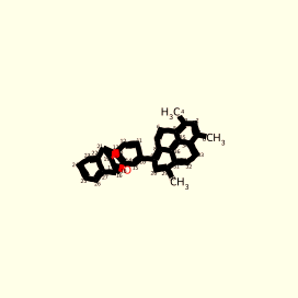 Cc1cc(C)c2ccc3c(-c4ccc5c(c4)C4C(=O)C(=O)C5c5ccccc54)cc(C)c4ccc1c2c43